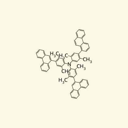 Cc1cc(N(c2cc(C)c(-c3cc4ccccc4c4ccccc34)cc2C)c2cc(C)c(-c3cc4ccccc4c4ccccc34)cc2C)c(C)cc1-c1cccc2c1ccc1ccccc12